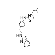 CC(C)CC1CCSC(Nc2ccc(CCNc3nc4ccccc4s3)cc2)=N1